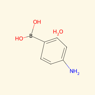 Nc1ccc(B(O)O)cc1.O